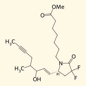 CC#CCC(C)C(O)C=C[C@H]1CC(F)(F)C(=O)N1CCCCCCC(=O)OC